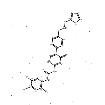 O=C(Nc1nc(=O)c(-c2ccc(CNCc3nccs3)cc2)c[nH]1)Nc1cc(F)c(F)cc1F